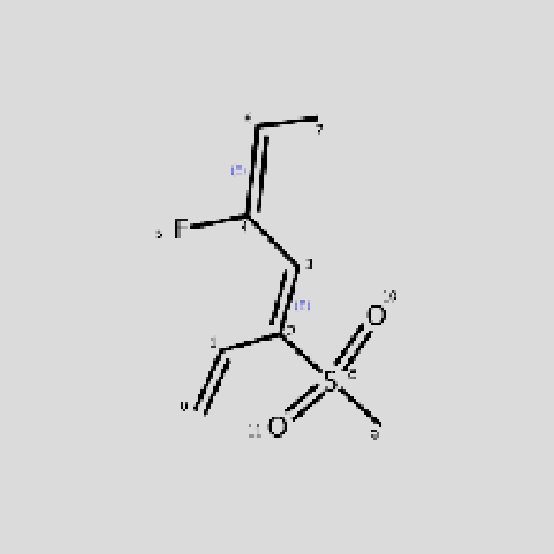 C=C/C(=C\C(F)=C/C)S(C)(=O)=O